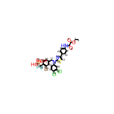 CCOC(=O)C(=O)Nc1ccc(-c2csc(N(Cc3ccc(C(F)(F)P(=O)(O)O)c(Br)c3)c3ccc(Cl)c(Cl)c3)n2)cc1